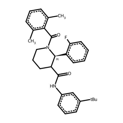 Cc1cccc(C)c1C(=O)N1CCCC(C(=O)Nc2cccc(C(C)(C)C)c2)[C@@H]1c1ccccc1F